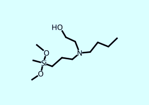 CCCCN(CCO)CCC[Si](C)(OC)OC